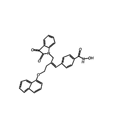 O=C(NO)c1ccc(/C=C(/CCOc2cccc3ccccc23)CN2C(=O)C(=O)c3ccccc32)cc1